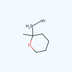 CCC[SiH2]C1(C)CCCCO1